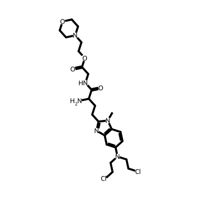 Cn1c(CCC(N)C(=O)NCC(=O)OCCN2CCOCC2)nc2cc(N(CCCl)CCCl)ccc21